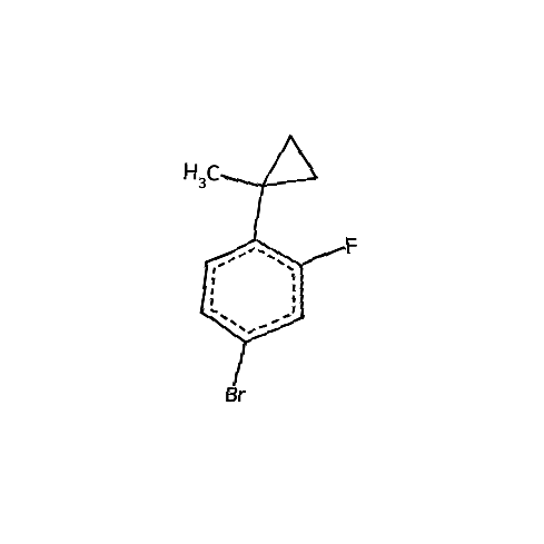 CC1(c2ccc(Br)cc2F)CC1